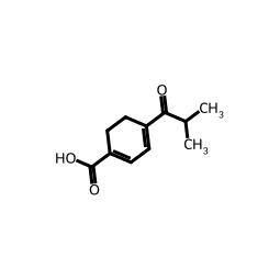 CC(C)C(=O)C1=CC=C(C(=O)O)CC1